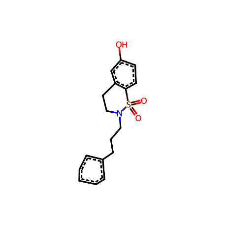 O=S1(=O)c2ccc(O)cc2CCN1CCCc1ccccc1